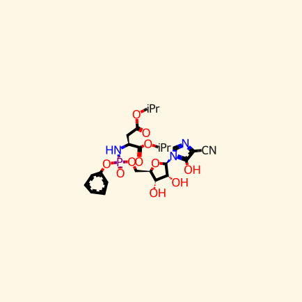 CC(C)OC(=O)C[C@H](NP(=O)(OC[C@H]1O[C@@H](n2cnc(C#N)c2O)[C@H](O)[C@@H]1O)Oc1ccccc1)C(=O)OC(C)C